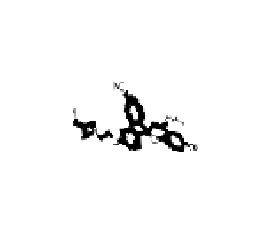 CC1=CC(c2ccc(C#N)cc2)(c2ccc(OCCN3CC(CF)C3)cc2)Oc2ccc(O)cc21